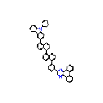 C1=Cc2c(-c3ccc4c(c3)c3ccccc3n4-c3ccccc3)cccc2C(c2cccc3c(-c4cccc(-c5cnc6c7ccccc7c7ccccc7c6n5)c4)cccc23)C1